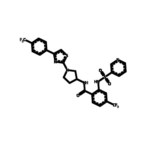 O=C(NC1CCN(c2nc(-c3ccc(C(F)(F)F)cc3)cs2)C1)c1ccc(C(F)(F)F)cc1NS(=O)(=O)c1cccnc1